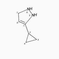 C1=C(C2CC2)NNC1